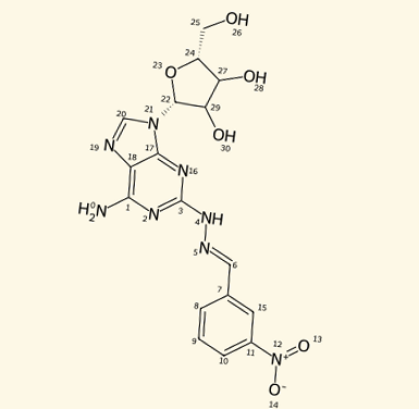 Nc1nc(NN=Cc2cccc([N+](=O)[O-])c2)nc2c1ncn2[C@@H]1O[C@H](CO)C(O)C1O